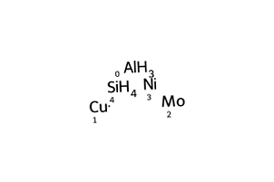 [AlH3].[Cu].[Mo].[Ni].[SiH4]